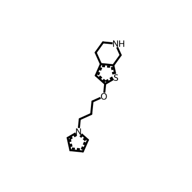 c1ccn(CCCOc2cc3c(s2)CNCC3)c1